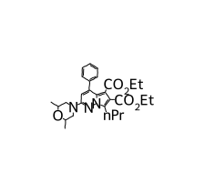 CCCc1c(C(=O)OCC)c(C(=O)OCC)c2c(-c3ccccc3)cc(N3CC(C)OC(C)C3)nn12